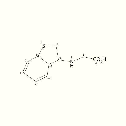 O=C(O)CNC1CSC2C=CC=CC12